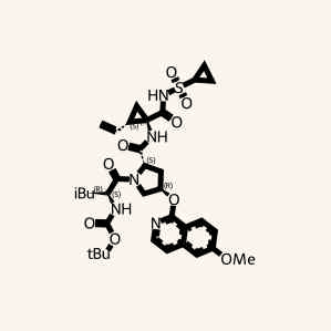 C=C[C@@H]1C[C@]1(NC(=O)[C@@H]1C[C@@H](Oc2nccc3cc(OC)ccc23)CN1C(=O)[C@@H](NC(=O)OC(C)(C)C)[C@H](C)CC)C(=O)NS(=O)(=O)C1CC1